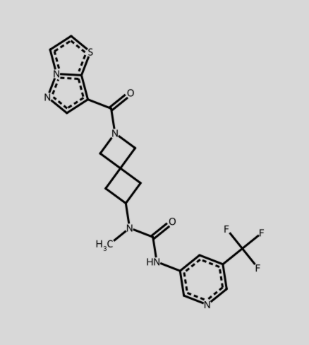 CN(C(=O)Nc1cncc(C(F)(F)F)c1)C1CC2(C1)CN(C(=O)c1cnn3ccsc13)C2